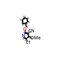 [CH2]Cc1cnc(OCc2ccccc2)c(C#N)c1OC